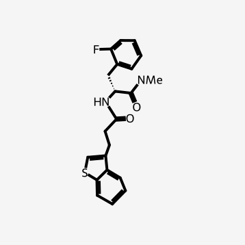 CNC(=O)[C@@H](Cc1ccccc1F)NC(=O)CCc1csc2ccccc12